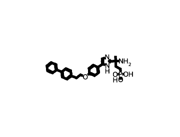 CC(N)(CCP(=O)(O)O)c1ncc(-c2ccc(OCCc3ccc(-c4ccccc4)cc3)cc2)[nH]1